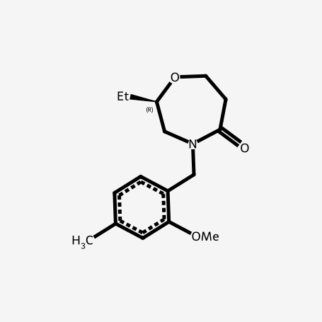 CC[C@@H]1CN(Cc2ccc(C)cc2OC)C(=O)CCO1